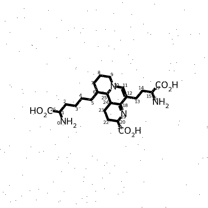 NC(CCCCC1CCCN2C=C(CCC(N)C(=O)O)C3=NC(C(=O)O)CCC3C12)C(=O)O